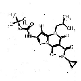 CC(C)Cn1c(=O)c(C(=O)NC2CC2)c(O)n2nc(NC(=O)OC(C)(C)C)c(Br)c12